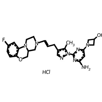 Cc1c(CC=CN2CCN3c4cc(F)ccc4OCC3C2)cnn1-c1nc(N)cc(N2CC(O)C2)n1.Cl